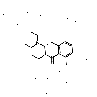 CCC(CN(CC)CC)Nc1c(C)cccc1C